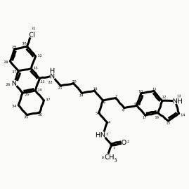 CC(=O)NCCC(C[CH]c1ccc2[nH]ccc2c1)CCCCNc1c2c(nc3ccc(Cl)cc13)CCCC2